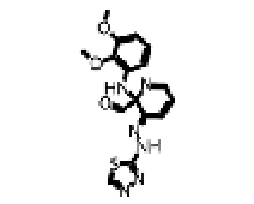 COc1cccc(NC2(C=O)N=CC=CC2=NNc2nncs2)c1OC